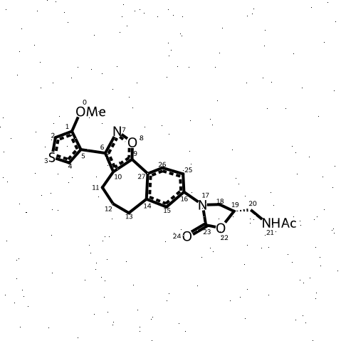 COc1cscc1-c1noc2c1CCCc1cc(N3C[C@H](CNC(C)=O)OC3=O)ccc1-2